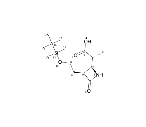 C[C@@H](C(=O)O)[C@H]1NC(=O)[C@H]1CCO[Si](C)(C)C(C)(C)C